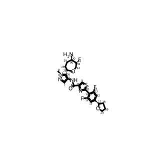 Cn1ncc(NC(=O)c2csc(-c3c(F)cc([C@H]4CCCO4)cc3F)n2)c1[C@@H]1CC[C@@H](N)[C@H](F)CO1